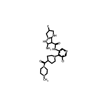 CN1CCN(C(=O)C2CCN(c3c(Cl)cncc3NC(=O)C3C(N)NN4CC(F)CNC34)CC2)CC1